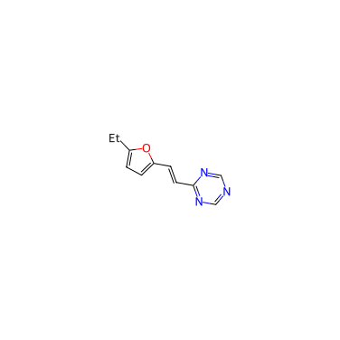 CCc1ccc(C=Cc2ncncn2)o1